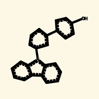 Oc1ccc(-c2cccc(-n3c4ccccc4c4ccccc43)c2)cc1